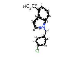 O=C(O)c1cccc2c1ccn2Cc1ccc(Cl)cc1